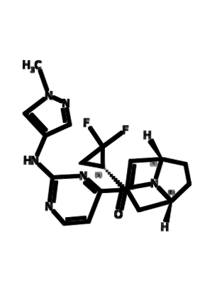 Cn1cc(Nc2nccc(C3=C[C@@H]4CC[C@H](C3)N4C(=O)[C@@H]3CC3(F)F)n2)cn1